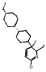 CC[C@H]1CC[C@H](C2CCC(C3(F)C=CC(Cl)=NC3F)CC2)CC1